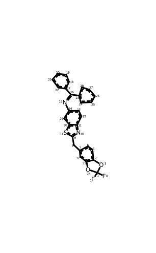 FC1(F)Oc2ccc(Cc3nc4ccc(N=C(c5ccccc5)c5ccccc5)cc4s3)cc2O1